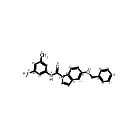 Cc1cc(NC(=O)n2ccc3cc(OCc4ccccc4)ccc32)cc(C(F)(F)F)c1